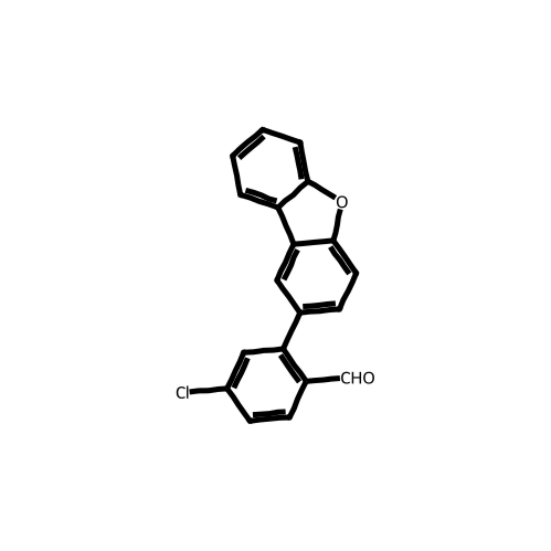 O=Cc1ccc(Cl)cc1-c1ccc2oc3ccccc3c2c1